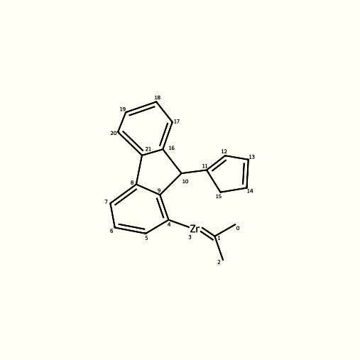 C[C](C)=[Zr][c]1cccc2c1C(C1=CC=CC1)c1ccccc1-2